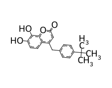 CC(C)(C)c1ccc(Cc2cc(=O)oc3c(O)c(O)ccc23)cc1